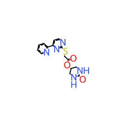 O=C1NCC(OC(=O)CSc2nccc(-c3ccccn3)n2)CN1